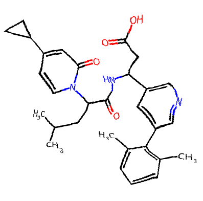 Cc1cccc(C)c1-c1cncc(C(CC(=O)O)NC(=O)C(CC(C)C)n2ccc(C3CC3)cc2=O)c1